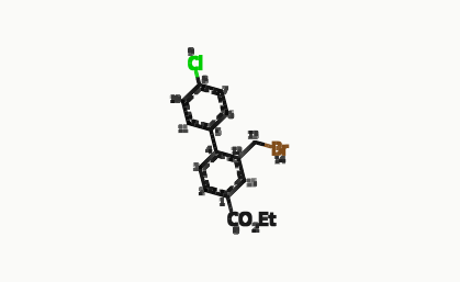 CCOC(=O)c1ccc(-c2ccc(Cl)cc2)c(CBr)c1